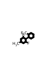 Cc1cc(F)c(-c2cc[c]cc2C(F)(F)F)c(F)c1